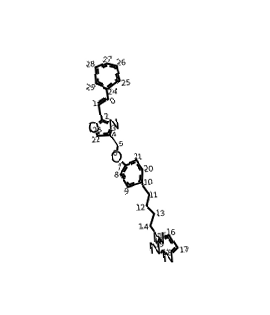 C(=Cc1nc(COc2ccc(CCCCn3ccnn3)cc2)co1)c1ccccc1